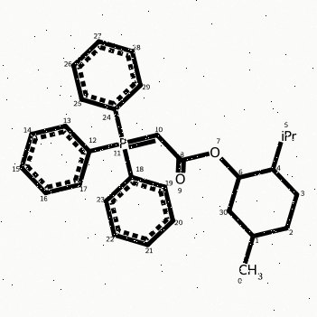 CC1CCC(C(C)C)C(OC(=O)C=P(c2ccccc2)(c2ccccc2)c2ccccc2)C1